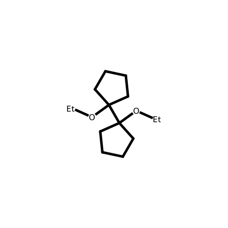 CCOC1(C2(OCC)CCCC2)CCCC1